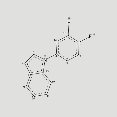 Fc1ccc(-n2ccc3c[c]ccc32)cc1F